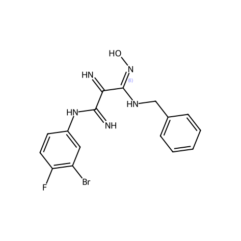 N=C(Nc1ccc(F)c(Br)c1)C(=N)/C(=N\O)NCc1ccccc1